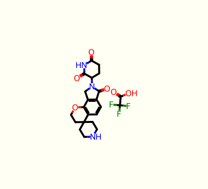 O=C(O)C(F)(F)F.O=C1CCC(N2Cc3c(ccc4c3OCCC43CCNCC3)C2=O)C(=O)N1